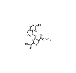 COC(=O)c1ccc(C(=O)O)cc1Nc1cccc2ccc(O)cc12